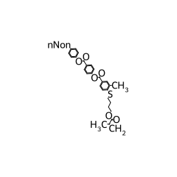 C=C(C)C(=O)OCCCCSc1ccc(C(=O)Oc2ccc(C(=O)Oc3ccc(CCCCCCCCC)cc3)cc2)cc1C